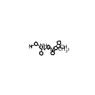 CC1(C)c2ccccc2-c2cc3c(cc21)c1ccccc1n3-c1cccc(/C=N/C(=C\C(N)c2cccc(C#N)c2)c2ccccc2)c1